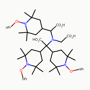 CCCON1C(C)(C)CC(C(C(=O)O)N(CC(=O)O)C(C(=O)O)(C2CC(C)(C)N(OCCC)C(C)(C)C2)C2CC(C)(C)N(OCCC)C(C)(C)C2)CC1(C)C